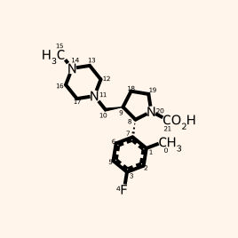 Cc1cc(F)ccc1[C@@H]1[C@@H](CN2CCN(C)CC2)CCN1C(=O)O